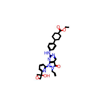 C=CCn1c(=O)c2cnc(Nc3ccc(C4CCC(C(=O)OCC)CC4)cc3)nc2n1-c1cccc(C2(O)COC2)n1